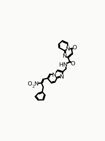 O=C(NCc1cn2cc(/C=C(\Cc3ccccc3)[N+](=O)[O-])ccc2n1)c1cc(=O)n2ccccc2n1